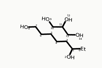 CCC(O)CCCCCO.OCC(O)CO